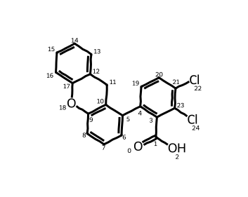 O=C(O)c1c(-c2cccc3c2Cc2ccccc2O3)ccc(Cl)c1Cl